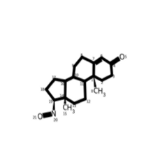 C[C@]12CCC(=O)C=C1CCC1C2CC[C@@]2(C)C1CC[C@@H]2N=O